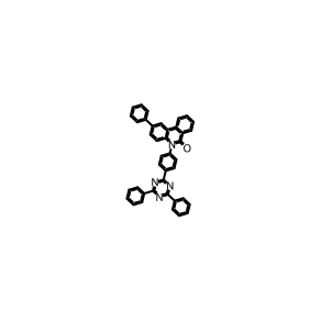 O=c1c2ccccc2c2cc(-c3ccccc3)ccc2n1-c1ccc(-c2nc(-c3ccccc3)nc(-c3ccccc3)n2)cc1